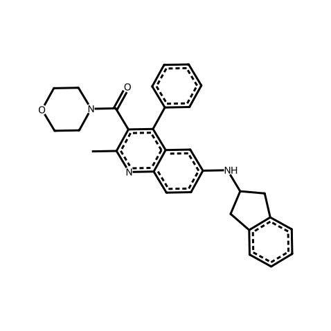 Cc1nc2ccc(NC3Cc4ccccc4C3)cc2c(-c2ccccc2)c1C(=O)N1CCOCC1